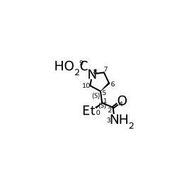 CC[C@H](C(N)=O)[C@@H]1CCN(C(=O)O)C1